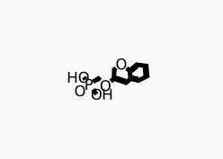 O=P(O)(O)COC1=Cc2ccccc2OC1